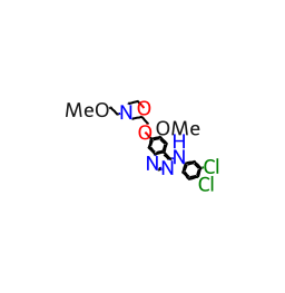 COCCN1CCOC(COc2cc3ncnc(Nc4ccc(Cl)c(Cl)c4)c3cc2OC)C1